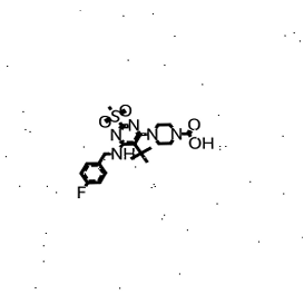 CC(C)(C)c1c(NCc2ccc(F)cc2)nc(S(C)(=O)=O)nc1N1CCN(C(=O)O)CC1